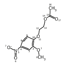 COc1cc([N+](=O)[O-])ccc1OCCOC(C)=O